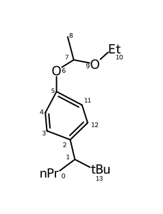 CCCC(c1ccc(OC(C)OCC)cc1)C(C)(C)C